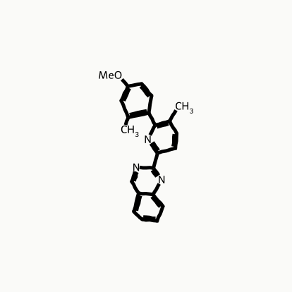 COc1ccc(-c2nc(-c3ncc4ccccc4n3)ccc2C)c(C)c1